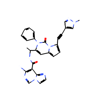 CC(NC(=O)c1c(N)ncn2ccnc12)c1cc2ccc(C#Cc3cnn(C)c3)n2c(=O)n1-c1ccccc1